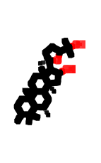 CC1CCC23CC24CCC2(C)C([C@@]5(C)CCC(C(C)(C)O)O5)C(O)C[C@@]2(C)C4C[C@H](C)C3C1(C)C